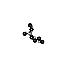 c1ccc(-c2nc(-c3ccc4c(c3)oc3c(-c5cccc6c5oc5ccccc56)cccc34)nc(-c3ccc4sc5ccccc5c4c3)n2)cc1